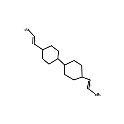 CCCC/C=C/C1CCC(C2CCC(/C=C/CCCC)CC2)CC1